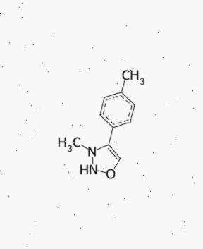 Cc1ccc(C2=CONN2C)cc1